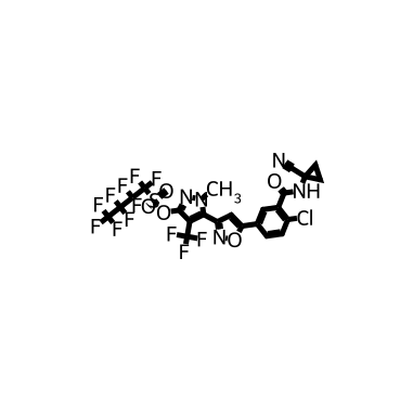 Cn1nc(OS(=O)(=O)C(F)(F)C(F)(F)C(F)(F)C(F)(F)F)c(C(F)(F)F)c1-c1cc(-c2ccc(Cl)c(C(=O)NC3(C#N)CC3)c2)on1